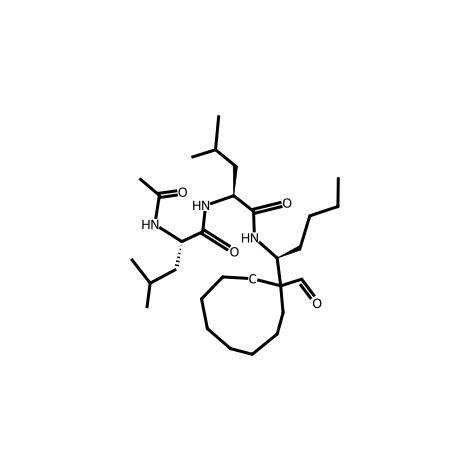 CCCC[C@H](NC(=O)[C@H](CC(C)C)NC(=O)[C@H](CC(C)C)NC(C)=O)C1(C=O)CCCCCCCC1